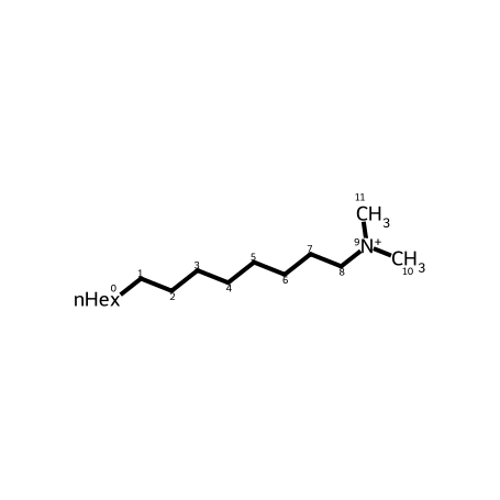 CCCCCCCCCCCCCC[N+](C)C